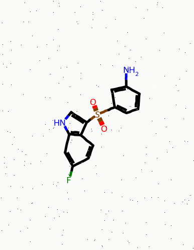 Nc1cccc(S(=O)(=O)c2c[nH]c3cc(F)ccc23)c1